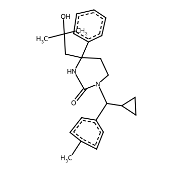 Cc1ccc(C(C2CC2)N2CCC(CC(C)(C)O)(c3ccccc3)NC2=O)cc1